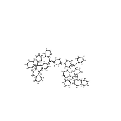 c1ccc(N(c2ccc(-c3ccc(N(c4ccccc4)c4ccc5c(c4)C(c4ccccc4)(c4ccccc4)c4ccc6ccccc6c4-5)cc3)cc2)c2ccc3c(c2)C(c2ccccc2)(c2ccccc2)c2ccc4ccccc4c2-3)cc1